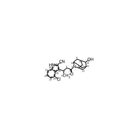 CC(CC(=O)N1C2CC3CC1CC(C2)C3O)c1c(C#N)[nH]c2cccc(Cl)c12